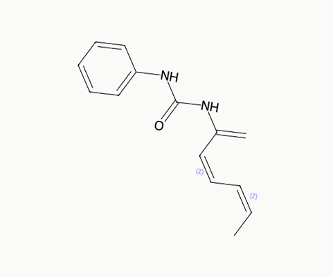 C=C(/C=C\C=C/C)NC(=O)Nc1ccccc1